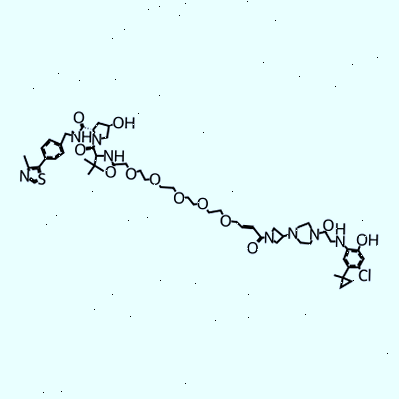 Cc1ncsc1-c1ccc(CNC(=O)[C@@H]2C[C@@H](O)CN2C(=O)C(NC(=O)COCCOCCOCCOCCOC/C=C/C(=O)N2CC(N3CCN(C(=O)CNc4cc(C5(C)CC5)c(Cl)cc4O)CC3)C2)C(C)(C)C)cc1